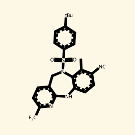 [C-]#[N+]c1ccc2c(c1C)N(S(=O)(=O)c1ccc(C(C)(C)C)cc1)Cc1ccc(C(F)(F)F)nc1N2